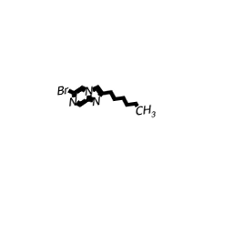 CCCCCCc1cn2cc(Br)ncc2n1